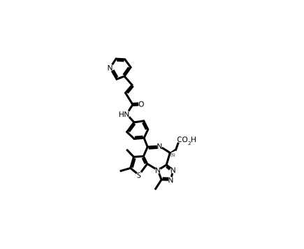 Cc1sc2c(c1C)C(c1ccc(NC(=O)C=Cc3cccnc3)cc1)=N[C@@H](CC(=O)O)c1nnc(C)n1-2